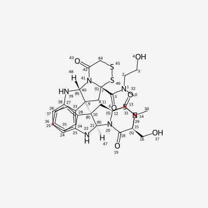 CN(CCO)C(=O)[C@@]12CC3([C@]45C[C@@]67SS[C@@](CO)(C(=O)N6[C@H]4Nc4ccccc45)N(C)C7=O)c4ccccc4N[C@@H]3N1C(=O)CSS2